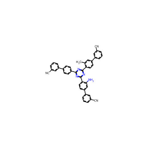 Cc1cc(-c2cccc(C#N)c2)ccc1-c1nc(-c2ccc(-c3cccc(C#N)c3)cc2)nc(-c2ccc(-c3cccc(C#N)c3)cc2N)n1